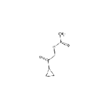 [CH2]C(=O)OCC(=O)C1CC1